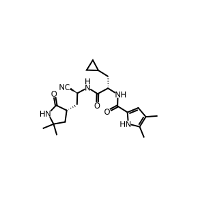 Cc1cc(C(=O)N[C@@H](CC2CC2)C(=O)N[C@H](C#N)C[C@@H]2CC(C)(C)NC2=O)[nH]c1C